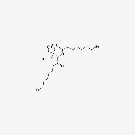 CC(C)CCCCCCC(=O)OC(C(=O)CCCCCCC(C)C)C(CO)(CO)CO